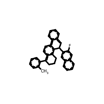 Cc1ccccc1C1=c2ccc3c(c2CCC1)C(c1cc2ccccc2cc1F)C=c1ccccc1=3